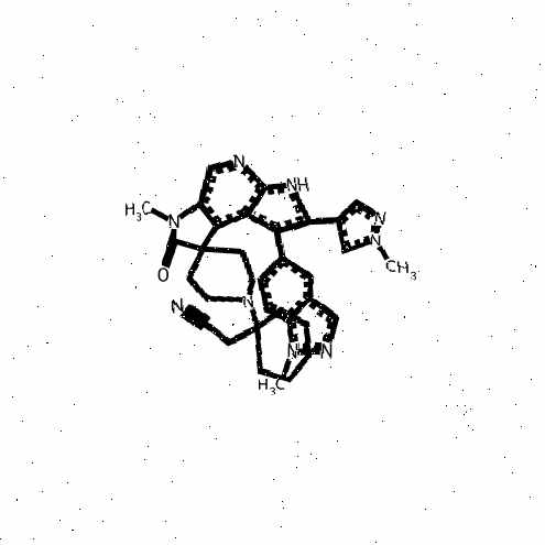 CN1C(=O)C2(CCN(C3(CC#N)CCCCC3)CC2)c2c1cnc1[nH]c(-c3cnn(C)c3)c(-c3ccc4c(cnn4C)c3)c21